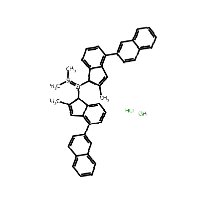 CC1=Cc2c(-c3ccc4ccccc4c3)cccc2[CH]1[Zr]([CH]1C(C)=Cc2c(-c3ccc4ccccc4c3)cccc21)=[Si](C)C.Cl.Cl